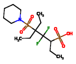 CCC(C(F)(F)C(CC)(CC)S(=O)(=O)N1CCCCC1)S(=O)(=O)O